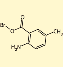 Cc1ccc(N)c(C(=O)OBr)c1